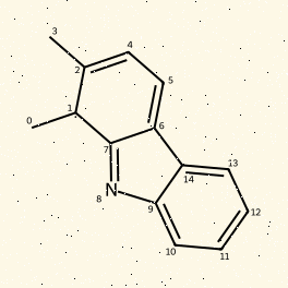 C[C]1C(C)=CC=C2C1=Nc1ccccc12